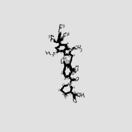 Cc1cc(C(F)(F)F)cc2c1cc(Cc1c(Cl)ccc(C(=O)N3CCC(F)C(C(=O)O)C3)c1Cl)n2C